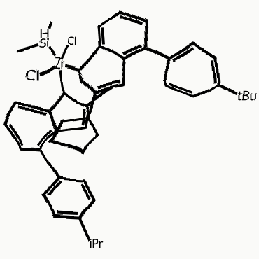 CC1=Cc2c(-c3ccc(C(C)C)cc3)cccc2[CH]1[Zr]([Cl])([Cl])([CH]1C(C2CCCC2)=Cc2c(-c3ccc(C(C)(C)C)cc3)cccc21)[SiH](C)C